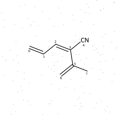 C=C/C=C(/C#N)C(=C)C